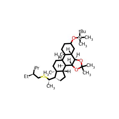 CC[C@H](CS[C@@H](C)[C@H]1CC[C@H]2[C@@H]3[C@H]4OC(C)(C)O[C@@H]4[C@H]4CC(O[Si](C)(C)C(C)(C)C)CC[C@]4(C)[C@H]3CC[C@]12C)C(C)C